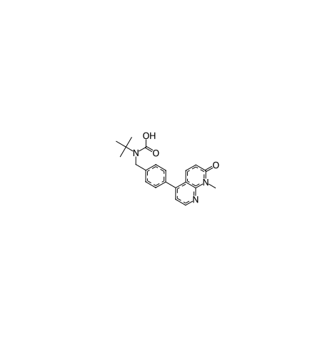 Cn1c(=O)ccc2c(-c3ccc(CN(C(=O)O)C(C)(C)C)cc3)ccnc21